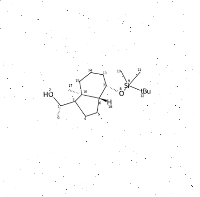 C[C@H](O)C1CC[C@H]2[C@@H](O[Si](C)(C)C(C)(C)C)CCC[C@]12C